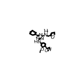 CCOc1cc(Nc2nc(NCc3ccco3)nc(-c3ccccc3)n2)ccc1-c1cnco1